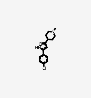 CN1CCC(c2cc(-c3ccc(Cl)cc3)[nH]n2)CC1